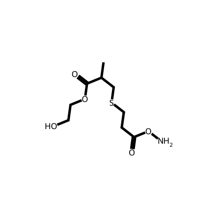 CC(CSCCC(=O)ON)C(=O)OCCO